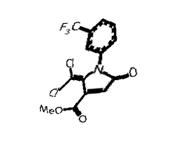 COC(=O)C1=CC(=O)N(c2cccc(C(F)(F)F)c2)C1=C(Cl)Cl